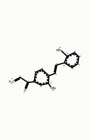 C=CC(=O)c1ccc(/C=C/c2ccccc2CCCC)c(CCCC)c1